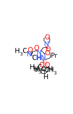 Cc1nc(C)c(C(=O)NC(CC(=O)N2CCOCC2)C(=O)NC(CC(C)C)B2O[C@@H]3C[C@@H]4C[C@@H](C4(C)C)[C@]3(C)O2)o1